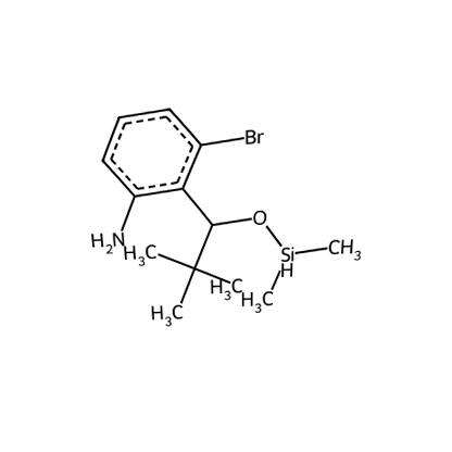 C[SiH](C)OC(c1c(N)cccc1Br)C(C)(C)C